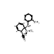 Cc1ccccc1NC1([N+](=O)[O-])C=CC=CC1C#N